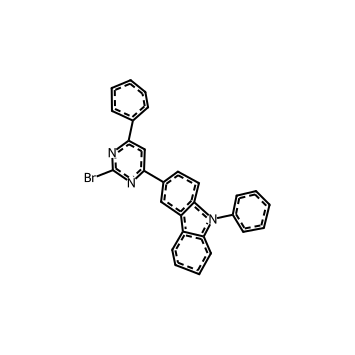 Brc1nc(-c2ccccc2)cc(-c2ccc3c(c2)c2ccccc2n3-c2ccccc2)n1